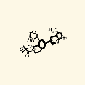 Cc1c[nH]c2ncc(-c3cc4c(c([C@@H]5COCCN5)c3)CN(C(=O)C3(C)COC3)CC4)cc12